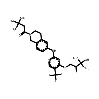 CC(C)(O)CC(=O)N1CCc2cc(Nc3ncc(C(F)(F)F)c(NCC(F)C(C)(C)O)n3)ccc2C1